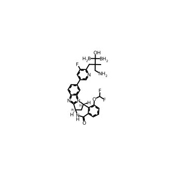 BC(B)(O)C(C)(CN)Cc1ncc(-c2ccc3nc4n(c3c2)[C@H]2C[C@H]4NC(=O)c3cccc(OC(F)F)c32)cc1F